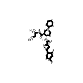 CCOC[C@@H](C)NC(=O)[C@H]1CN(C2CCCCC2)CC[C@@H]1NC(=O)c1cc(-c2ccc(F)cc2F)on1